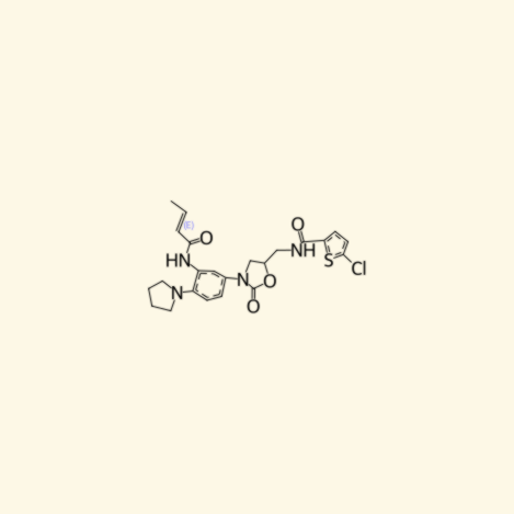 C/C=C/C(=O)Nc1cc(N2CC(CNC(=O)c3ccc(Cl)s3)OC2=O)ccc1N1CCCC1